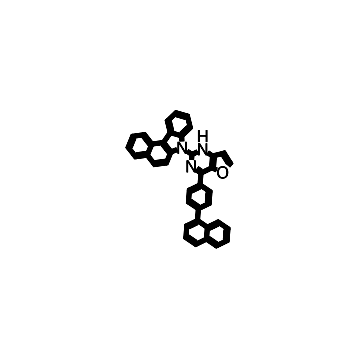 c1ccc2c(-c3ccc(C4=NC(n5c6ccccc6c6c7ccccc7ccc65)Nc5ccoc54)cc3)cccc2c1